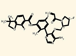 C=CC(=O)N1C[C@H](F)C[C@H]1COc1c(N)ncnc1-c1cc(F)cc(NC(=O)c2ccc3c(c2F)OCC3(C)C)c1C